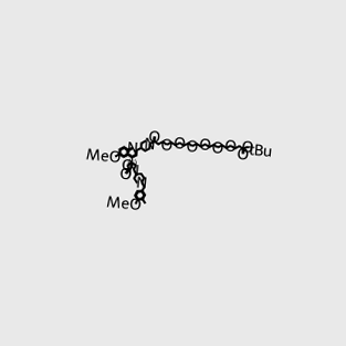 COc1ccc2nc(C3CCN(C(=O)CCOCCOCCOCCOCCOCCOCCC(=O)OC(C)(C)C)CC3)cc([C@H]3CN(C4CCN(Cc5ccc(OC)c(C)c5)CC4)C(=O)O3)c2c1